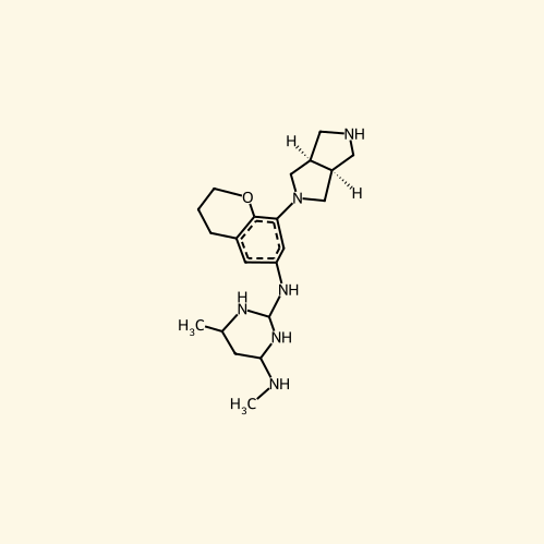 CNC1CC(C)NC(Nc2cc3c(c(N4C[C@H]5CNC[C@H]5C4)c2)OCCC3)N1